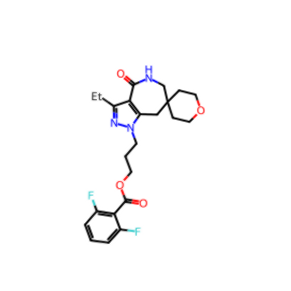 CCc1nn(CCCOC(=O)c2c(F)cccc2F)c2c1C(=O)NCC1(CCOCC1)C2